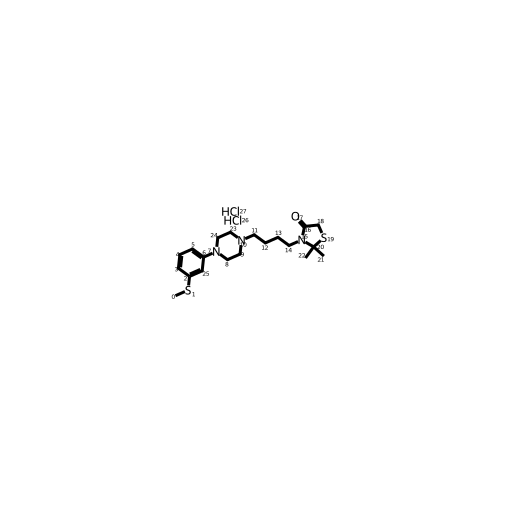 CSc1cccc(N2CCN(CCCCN3C(=O)CSC3(C)C)CC2)c1.Cl.Cl